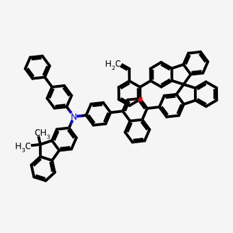 C=Cc1ccccc1-c1ccc2c(c1)C1(c3ccccc3-2)c2ccccc2-c2ccc(-c3ccc(-c4ccc(N(c5ccc(-c6ccccc6)cc5)c5ccc6c(c5)C(C)(C)c5ccccc5-6)cc4)c4ccccc34)cc21